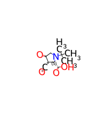 CC(C)(C)N1CC(=O)C(=C=O)[C@H]1C(=O)O